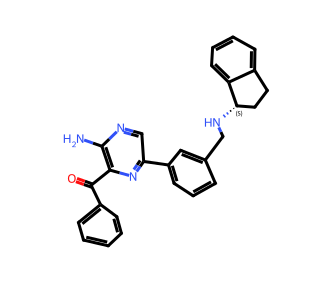 Nc1ncc(-c2cccc(CN[C@H]3CCc4ccccc43)c2)nc1C(=O)c1ccccc1